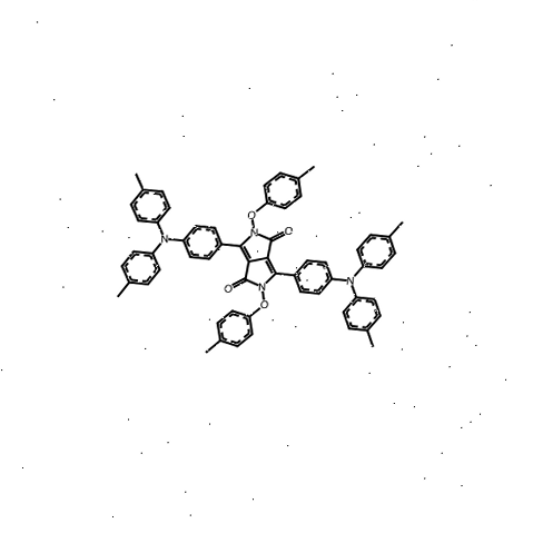 Cc1ccc(ON2C(=O)C3=C(c4ccc(N(c5ccc(C)cc5)c5ccc(C)cc5)cc4)N(Oc4ccc(C)cc4)C(=O)C3=C2c2ccc(N(c3ccc(C)cc3)c3ccc(C)cc3)cc2)cc1